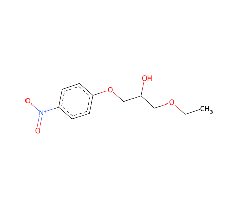 CCOCC(O)COc1ccc([N+](=O)[O-])cc1